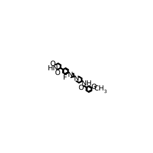 COc1cccc(C(=O)NC2CCN(C3CN(c4ccc(C5CCC(=O)NC5=O)cc4F)C3)CC2)c1